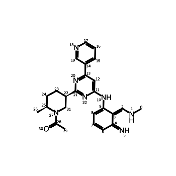 CN/C=C1\C(=N)C=CC=C1Nc1cc(-c2cccnc2)nc([C@@H]2CC[C@H](C)N(C(C)=O)C2)n1